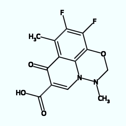 Cc1c(F)c(F)c2c3c1c(=O)c(C(=O)O)cn3N(C)CO2